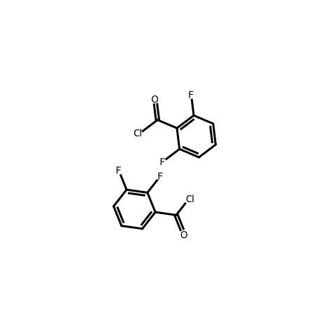 O=C(Cl)c1c(F)cccc1F.O=C(Cl)c1cccc(F)c1F